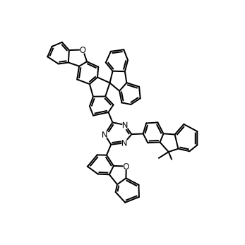 CC1(C)c2ccccc2-c2ccc(-c3nc(-c4ccc5c(c4)C4(c6ccccc6-c6ccccc64)c4cc6oc7ccccc7c6cc4-5)nc(-c4cccc5c4oc4ccccc45)n3)cc21